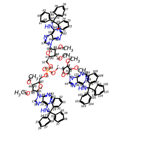 CO[C@@H]1[C@H](OC)[C@@H](COP(=O)(OC[C@H]2O[C@@H](n3cnc4c(NC(c5ccccc5)(c5ccccc5)c5ccccc5)ncnc43)[C@H](OC)[C@@H]2OC)OC[C@H]2O[C@@H](n3cnc4c(NC(c5ccccc5)(c5ccccc5)c5ccccc5)ncnc43)[C@H](OC)[C@@H]2OC)O[C@H]1n1cnc2c(NC(c3ccccc3)(c3ccccc3)c3ccccc3)ncnc21